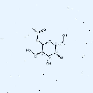 CC(=O)OC1O[C@H](CO)[C@@H](O)[C@H](O)[C@H]1NO